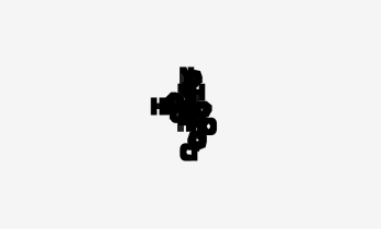 O=C(Nc1cccc2nc(-c3c(NCc4ccccn4)cc[nH]c3=O)[nH]c12)c1ccc(Cl)cc1